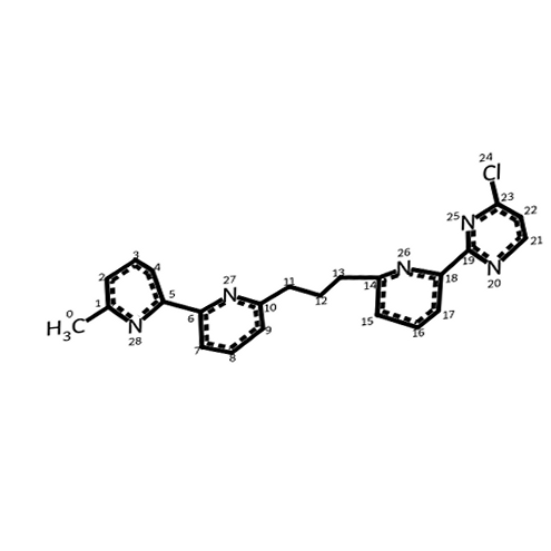 Cc1cccc(-c2cccc(CCCc3cccc(-c4nccc(Cl)n4)n3)n2)n1